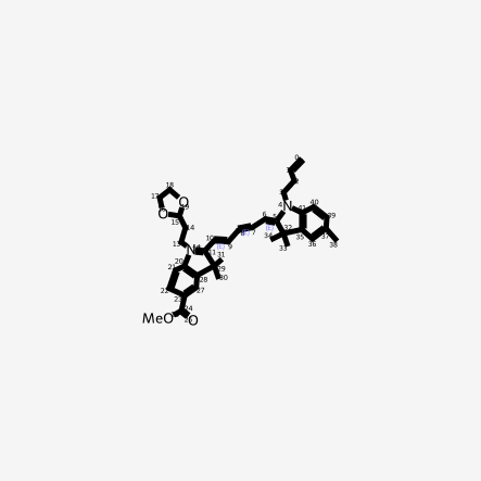 C=CCCN1/C(=C/C=C/C=C/C2=[N+](CCC3OCCO3)c3ccc(C(=O)OC)cc3C2(C)C)C(C)(C)c2cc(C)ccc21